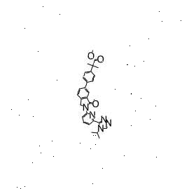 COC(=O)C(C)(C)c1ccc(-c2ccc3c(c2)C(=O)N(c2cccc(-c4nncn4C(C)C)n2)C3)cc1